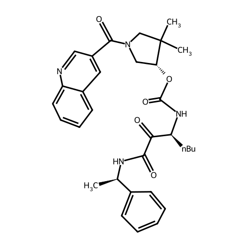 CCCC[C@H](NC(=O)O[C@@H]1CN(C(=O)c2cnc3ccccc3c2)CC1(C)C)C(=O)C(=O)N[C@H](C)c1ccccc1